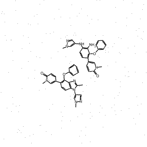 Cc1nc2c(Oc3ccccc3)c(-c3ccc(=O)n(C)c3)ccc2n1-c1cnn(C)c1.Cn1cc(Nc2ccc(-c3ccc(=O)n(C)c3)c(Oc3ccccc3)c2N)cn1